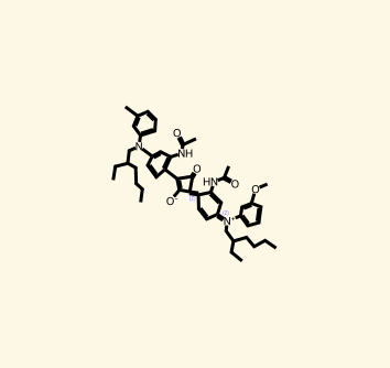 CCCCC(CC)CN(c1cccc(C)c1)c1ccc(C2=C([O-])/C(=C3C=C/C(=[N+](\CC(CC)CCCC)c4cccc(OC)c4)C=C\3NC(C)=O)C2=O)c(NC(C)=O)c1